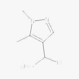 CCCCCCC(CC)c1cnn(C)c1C